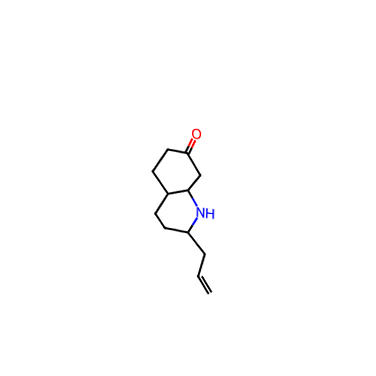 C=CCC1CCC2CCC(=O)CC2N1